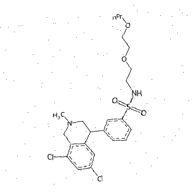 CCCOCCOCCNS(=O)(=O)c1cccc(C2CN(C)Cc3c(Cl)cc(Cl)cc32)c1